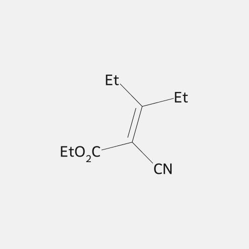 CCOC(=O)C(C#N)=C(CC)CC